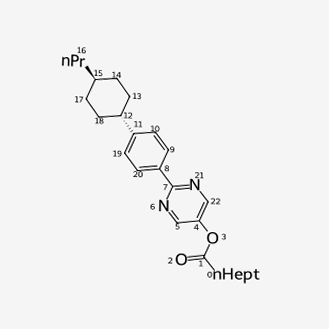 CCCCCCCC(=O)Oc1cnc(-c2ccc([C@H]3CC[C@H](CCC)CC3)cc2)nc1